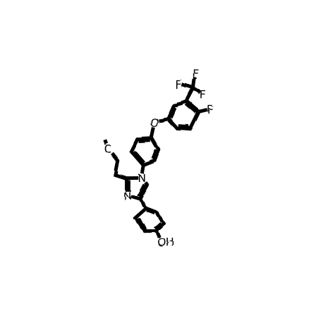 CCCCc1nc(-c2ccc(O)cc2)cn1-c1ccc(Oc2ccc(F)c(C(F)(F)F)c2)cc1